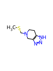 CSCN1CCc2[nH]nnc2C1